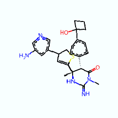 CN1C(=N)N[C@](C)(C2=CC(c3cncc(N)c3)CS2)[C@H](c2ccc(C3(O)CCC3)cc2)C1=O